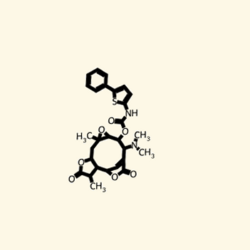 CC1C(=O)OC2CC3(C)OC3C(OC(=O)Nc3ccc(-c4ccccc4)s3)C(N(C)C)C3=CC(OC3=O)C21